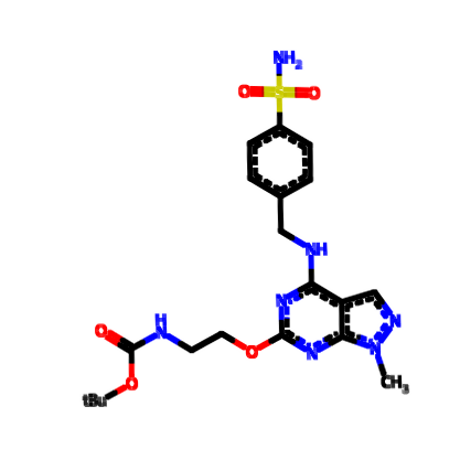 Cn1ncc2c(NCc3ccc(S(N)(=O)=O)cc3)nc(OCCNC(=O)OC(C)(C)C)nc21